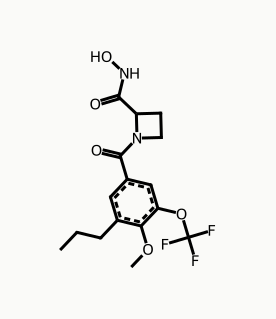 CCCc1cc(C(=O)N2CCC2C(=O)NO)cc(OC(F)(F)F)c1OC